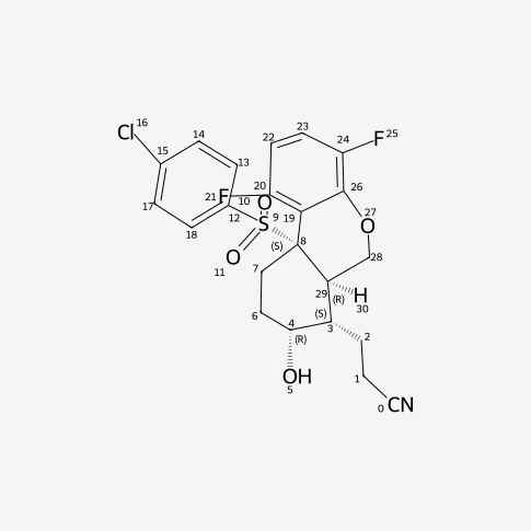 N#CCC[C@@H]1[C@H](O)CC[C@@]2(S(=O)(=O)c3ccc(Cl)cc3)c3c(F)ccc(F)c3OC[C@@H]12